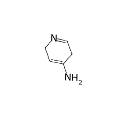 NC1=CCN=CC1